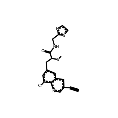 C#Cc1cnc2c(Cl)cc(CC(SC)C(=O)NCc3nccs3)cc2c1